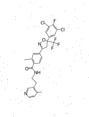 Cc1ccncc1CCNC(=O)c1ccc(C2=NOC(c3cc(Cl)c(F)c(Cl)c3)(C(F)(F)F)C2)cc1C